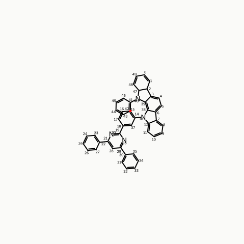 C1=CC2c3ccc4c5ccccc5n(-c5cccc(-c6nc(-c7ccccc7)cc(-c7ccccc7)n6)c5)c4c3N(c3ccccc3)C2C=C1